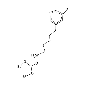 CCOC(OCC)O[SiH2]CCCCCc1cccc(F)c1